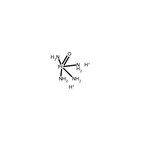 [H+].[H+].[NH2][Pt]([NH2])([NH2])([NH2])=[O]